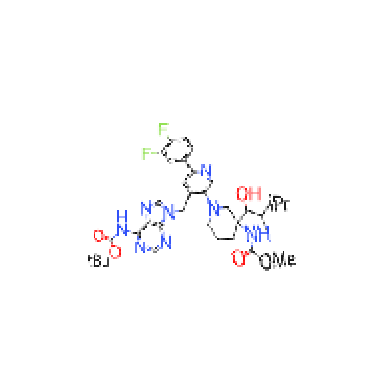 COC(=O)NC1(C(O)C(C)C(C)C)CCCN(c2cnc(-c3ccc(F)c(F)c3)cc2Cn2cnc3c(NC(=O)OC(C)(C)C)ncnc32)C1